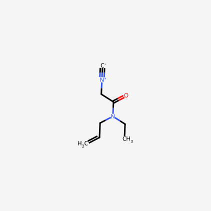 [C-]#[N+]CC(=O)N(CC)CC=C